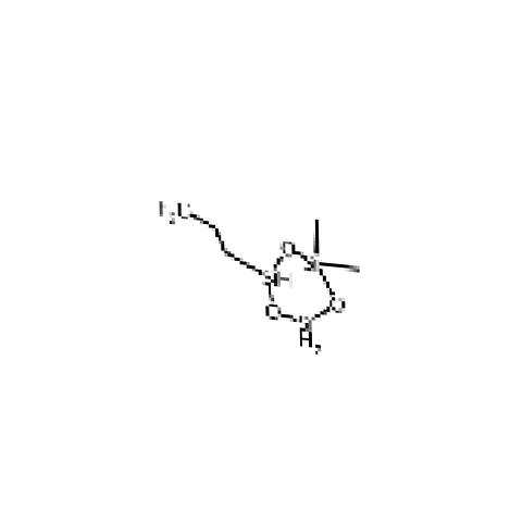 C[Si]1(C)O[SiH2]O[SiH](CCC(F)(F)F)O1